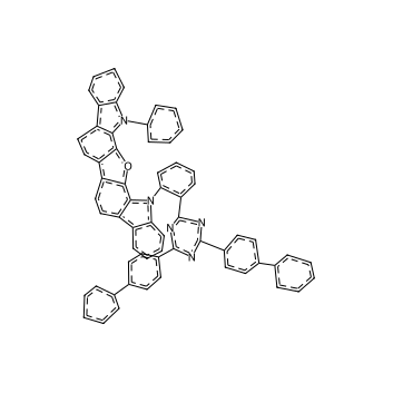 c1ccc(-c2ccc(-c3nc(-c4ccc(-c5ccccc5)cc4)nc(-c4ccccc4-n4c5ccccc5c5ccc6c7ccc8c9ccccc9n(-c9ccccc9)c8c7oc6c54)n3)cc2)cc1